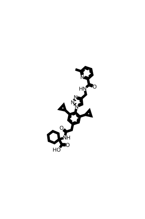 Cc1cccc(C(=O)NCc2cn(-c3c(C4CC4)cc(CC(=O)NC4(C(=O)O)CCCCC4)cc3C3CC3)nn2)n1